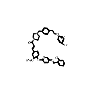 COc1cc(C=CC(=O)N2CCN(Cc3ccc(CCOc4ccc(C(C)C)cc4)cc3)CC2)ccc1Oc1ccc(OCc2ccccc2Cl)cn1.Cl